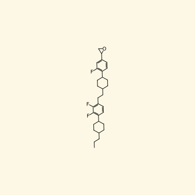 CCCC1CCC(c2ccc(CCC3CCC(c4ccc(C5CO5)cc4F)CC3)c(F)c2F)CC1